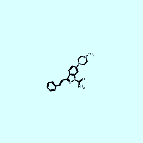 CN1CCN(c2[c]cc3c(C=Cc4ccccc4)nn(C(N)=O)c3c2)CC1